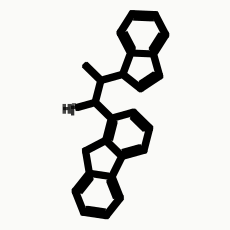 CC([CH]([Hf])c1cccc2c1Cc1ccccc1-2)C1C=Cc2ccccc21